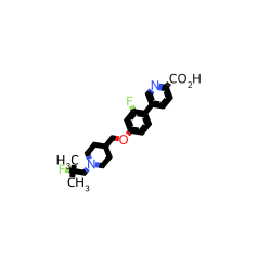 CC(C)(F)CN1CCC(COc2ccc(-c3ccc(C(=O)O)nc3)c(F)c2)CC1